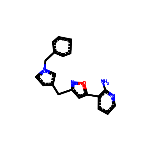 Nc1ncccc1-c1cc(Cc2ccn(Cc3ccccc3)c2)no1